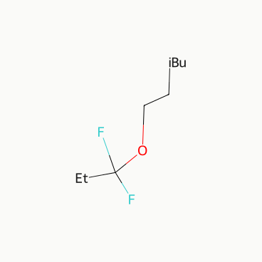 CCC(C)CCOC(F)(F)CC